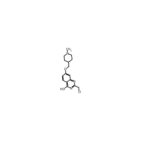 CN1CCC(COc2ccc3c(O)nc(CCl)nc3c2)CC1